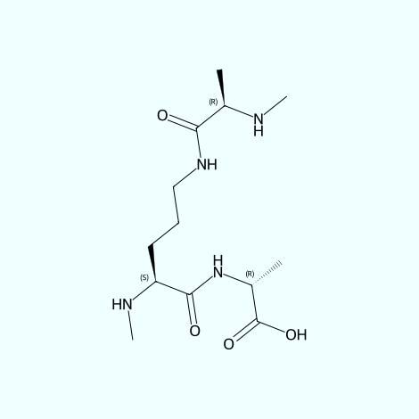 CN[C@@H](CCCNC(=O)[C@@H](C)NC)C(=O)N[C@H](C)C(=O)O